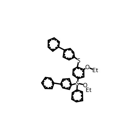 CCOc1cc(S(OCC)(c2ccccc2)c2ccc(-c3ccccc3)cc2)ccc1Sc1ccc(-c2ccccc2)cc1